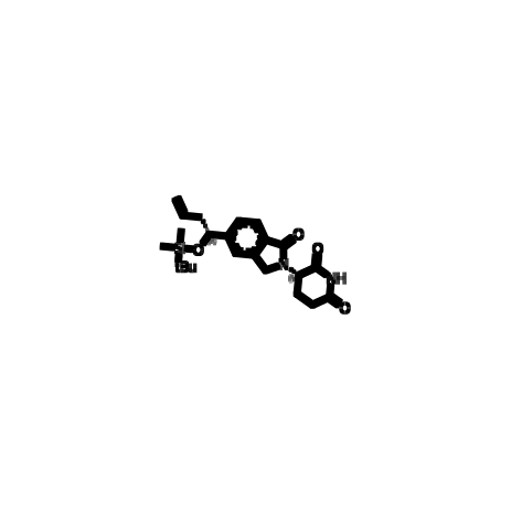 C=CC[C@@H](O[Si](C)(C)C(C)(C)C)c1ccc2c(c1)CN([C@H]1CCC(=O)NC1=O)C2=O